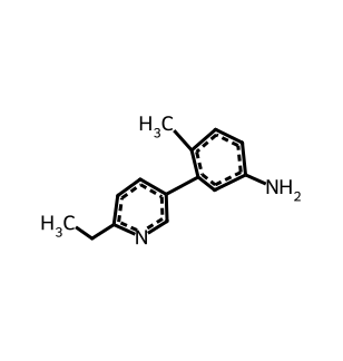 CCc1ccc(-c2cc(N)ccc2C)cn1